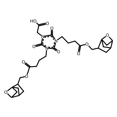 O=C(O)Cn1c(=O)n(CCCC(=O)OCC2CC3CC24CC3O4)c(=O)n(CCCC(=O)OCC2CC3CC24CC3O4)c1=O